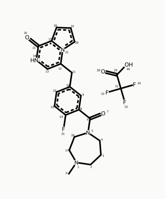 CN1CCCN(C(=O)c2cc(Cc3c[nH]c(=O)c4cccn34)ccc2F)CC1.O=C(O)C(F)(F)F